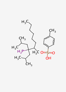 CCCCCCC(C)C(P)(CC(C)C)CC(C)C.Cc1ccc(S(=O)(=O)O)cc1